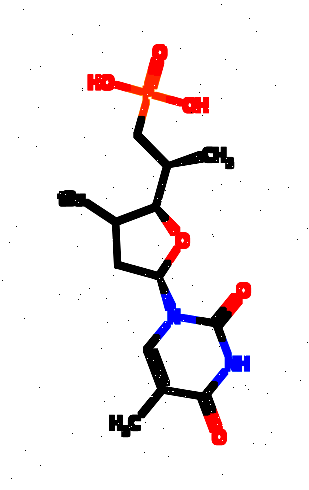 Cc1cn([C@H]2CC(C(C)(C)C)[C@@H]([C@H](C)CP(=O)(O)O)O2)c(=O)[nH]c1=O